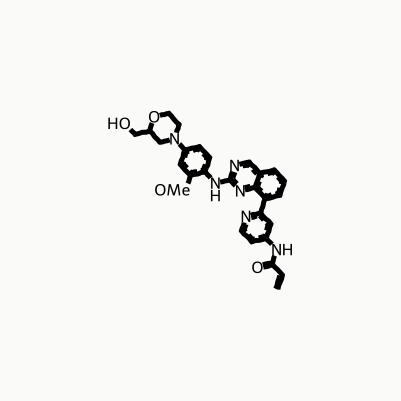 C=CC(=O)Nc1ccnc(-c2cccc3cnc(Nc4ccc(N5CCOC(CO)C5)cc4OC)nc23)c1